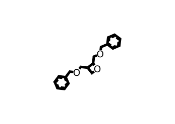 c1ccc(COCC2COC2COCc2ccccc2)cc1